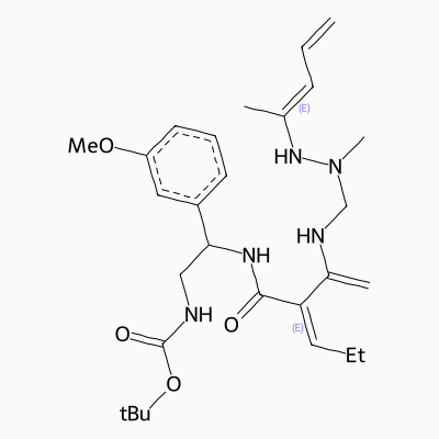 C=C/C=C(\C)NN(C)CNC(=C)/C(=C\CC)C(=O)NC(CNC(=O)OC(C)(C)C)c1cccc(OC)c1